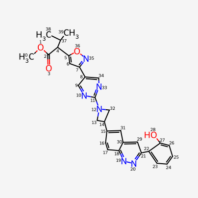 COC(=O)C(c1cc(-c2cnc(N3CC(c4ccc5nnc(-c6ccccc6O)cc5c4)C3)nc2)no1)C(C)C